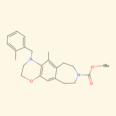 Cc1ccccc1CN1CCOc2cc3c(c(C)c21)CCN(C(=O)OC(C)(C)C)CC3